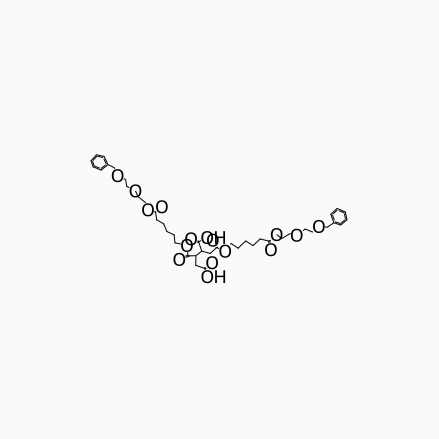 O=C(O)CC(C(=O)OCCCCCC(=O)OCCOCCOCc1ccccc1)C(CC(=O)OCCCCCC(=O)OCCOCCOCc1ccccc1)C(=O)O